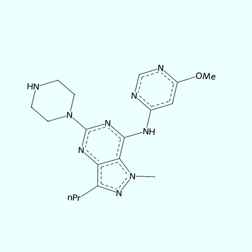 CCCc1nn(C)c2c(Nc3cc(OC)ncn3)nc(N3CCNCC3)nc12